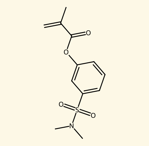 C=C(C)C(=O)Oc1cccc(S(=O)(=O)N(C)C)c1